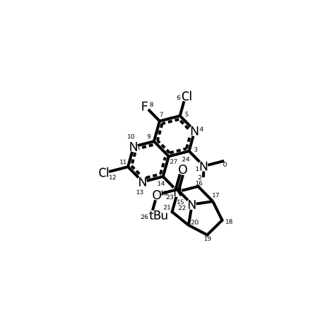 CN(C)c1nc(Cl)c(F)c2nc(Cl)nc(N3CC4CCC(C3)N4C(=O)OC(C)(C)C)c12